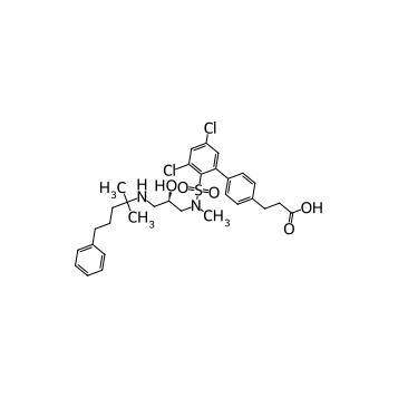 CN(C[C@H](O)CNC(C)(C)CCCc1ccccc1)S(=O)(=O)c1c(Cl)cc(Cl)cc1-c1ccc(CCC(=O)O)cc1